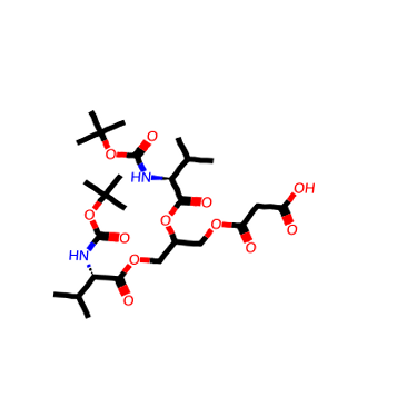 CC(C)[C@H](NC(=O)OC(C)(C)C)C(=O)OCC(COC(=O)CC(=O)O)OC(=O)[C@@H](NC(=O)OC(C)(C)C)C(C)C